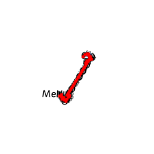 C=C=CCC(C)/C(C)=C/C(C)C(=O)CC(CC=C)CCC1(C)CCC(OCCCCCOCCCCCOCCCCCCCCCCCOCCCCSc2ccc(C(=C)N3CCOc4ccc(C5=CNC(NC)C=C5)cc4C3)c(C)c2F)CC1